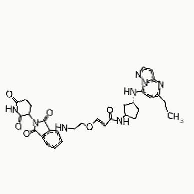 CCCc1cc(N[C@@H]2CC[C@@H](NC(=O)C=COCCNc3cccc4c3C(=O)N(C3CCC(=O)NC3=O)C4=O)C2)n2nccc2n1